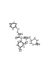 O=C(NCCc1ccncc1)C(NCCC1CCNCC1)c1ccc(Cl)cc1Cl